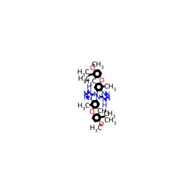 COc1ccc(Oc2c(C)cc(N(c3nnn[nH]3)N(c3cc(C)c(Oc4ccc(OC)c(C(C)C)c4)c(C)c3)c3nnn[nH]3)cc2C)cc1C(C)C